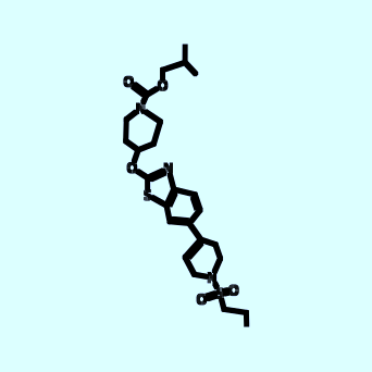 CCCS(=O)(=O)N1CC=C(c2ccc3nc(OC4CCN(C(=O)OCC(C)C)CC4)sc3c2)CC1